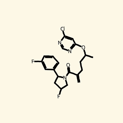 C=C(CCC(C)Oc1cc(Cl)ncn1)C(=O)N1CC(F)CC1c1cccc(F)c1